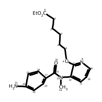 CCOC(=O)CCCCCOc1ncccc1N(C)C(=O)c1ccc(N)cc1